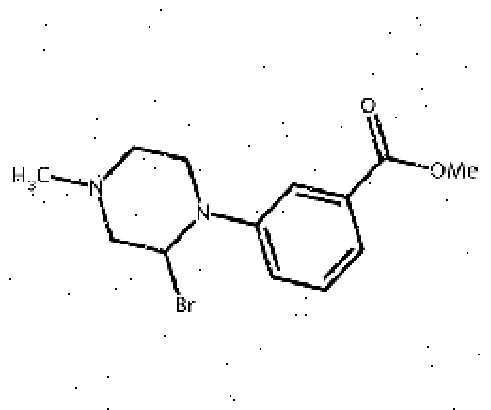 COC(=O)c1cccc(N2CCN(C)CC2Br)c1